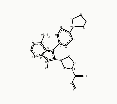 C=CC(=O)N1CCC(c2c(-c3ccc(N4CCCC4)cc3)c3c(N)ncnc3n2C)C1